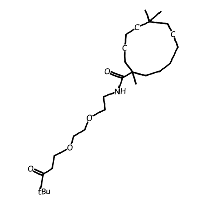 CC1(C)CCCCCCC(C)(C(=O)NCCOCCOCCC(=O)C(C)(C)C)CCCC1